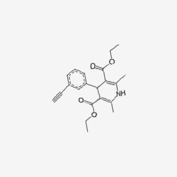 C#Cc1cccc(C2C(C(=O)OCC)=C(C)NC(C)=C2C(=O)OCC)c1